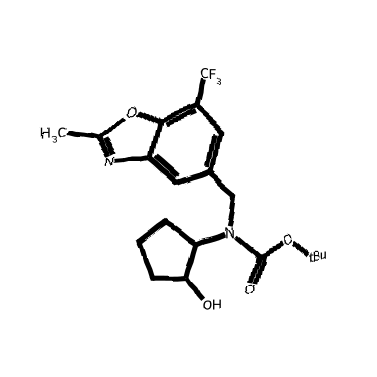 Cc1nc2cc(CN(C(=O)OC(C)(C)C)C3CCCC3O)cc(C(F)(F)F)c2o1